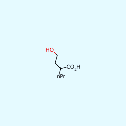 CCC[C](CCO)C(=O)O